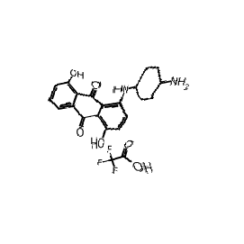 NC1CCC(Nc2ccc(O)c3c2C(=O)c2c(O)cccc2C3=O)CC1.O=C(O)C(F)(F)F